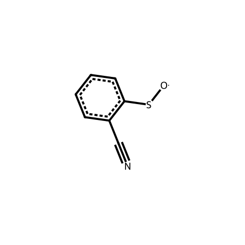 N#Cc1ccccc1S[O]